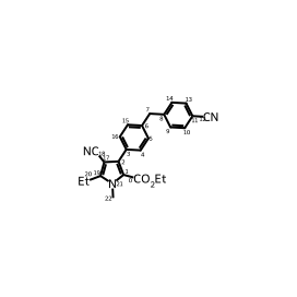 CCOC(=O)c1c(-c2ccc(Cc3ccc(C#N)cc3)cc2)c(C#N)c(CC)n1C